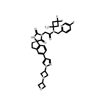 O=C1N[C@]2(CCc3cc(-c4cnn(C5CN(C6COC6)C5)c4)ccc32)C(=O)N1CC(=O)N(Cc1ccc(F)cn1)C1(C(F)(F)F)CC(F)(F)C1